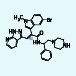 Cn1cc(/C(=C\c2n[nH]c3ncccc23)C(=O)NC(CN2CCNCC2)c2ccccc2)c2cc(Br)ccc21